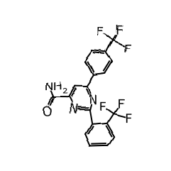 NC(=O)c1cc(-c2ccc(C(F)(F)F)cc2)nc(-c2ccccc2C(F)(F)F)n1